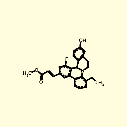 CCc1cccc2c1N1CCc3cc(O)ccc3C1c1c(F)cc(/C=C/C(=O)OC)cc1-2